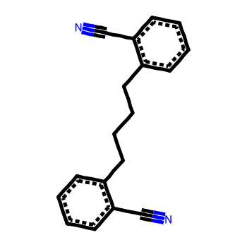 N#Cc1ccccc1CCCCc1ccccc1C#N